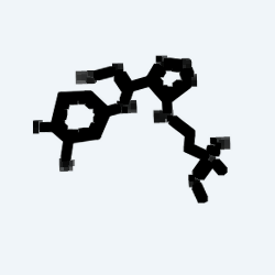 CN=S(C)(=N)CCNc1nonc1/C(=N/O)Nc1ccc(F)c(Br)c1